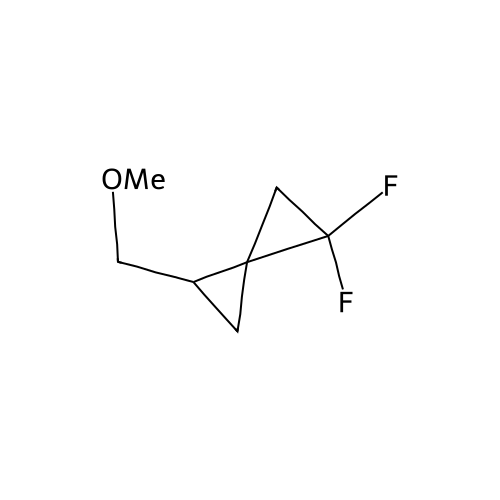 [CH2]OCC1CC12CC2(F)F